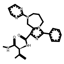 C=C(C)[C@H](NC(=O)c1nc(-c2ccccc2)n2c1CN(c1ncccn1)CCC2)C(=O)NC